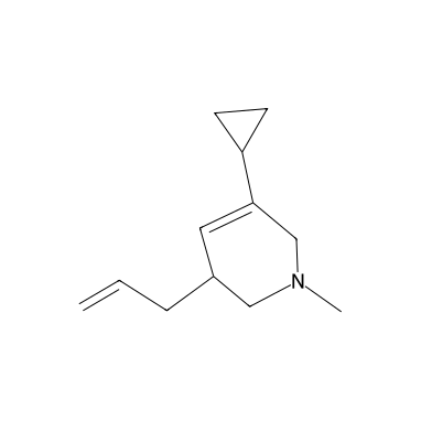 C=CCC1C=C(C2CC2)CN(C)C1